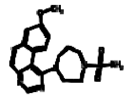 COc1ccc2c([c]cc3ncnc(N4CCCN(S(N)(=O)=O)CC4)c32)c1